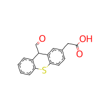 O=CC1c2ccccc2Sc2ccc(CC(=O)O)cc21